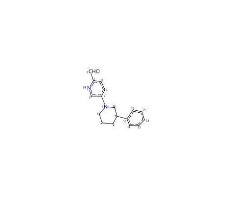 O=Cc1ccc(N2CCCC(c3ccccc3)C2)cn1